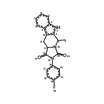 CC1c2[nH]c3ccccc3c2CC2C(=O)N(c3ccc(F)cc3)C(=O)N21